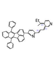 CC\C(C)=c1/ccnc/c1=C/C=C/c1ccc(-c2ccc3c4c(cccc24)-c2c-3c(-c3ccccc3)c3ccccc3c2-c2ccccc2)cn1